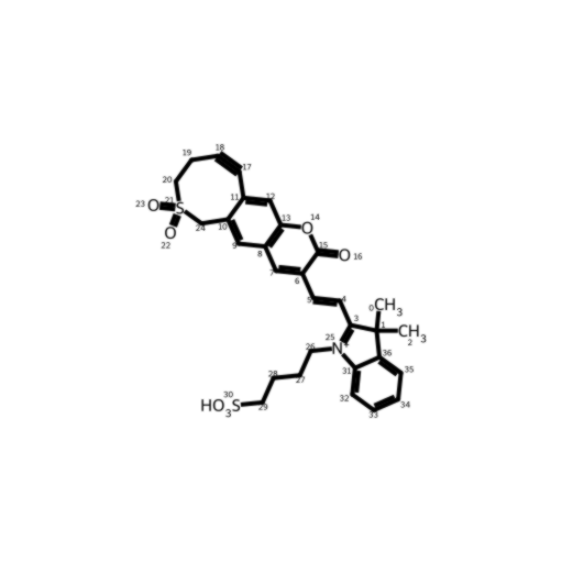 CC1(C)C(/C=C/c2cc3cc4c(cc3oc2=O)C#CCCS(=O)(=O)C4)=[N+](CCCCS(=O)(=O)O)c2ccccc21